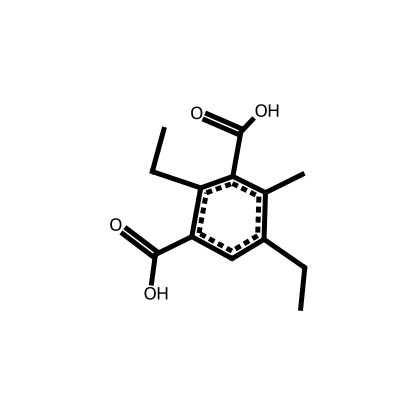 CCc1cc(C(=O)O)c(CC)c(C(=O)O)c1C